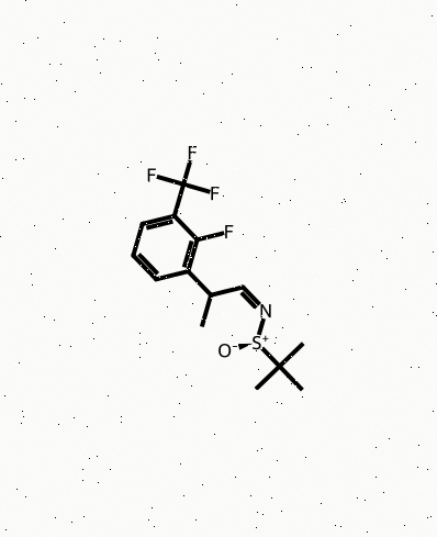 CC(/C=N\[S@+]([O-])C(C)(C)C)c1cccc(C(F)(F)F)c1F